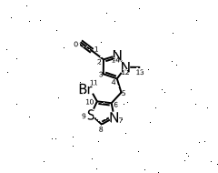 C#Cc1cc(Cc2ncsc2Br)n(C)n1